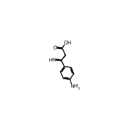 N=C(CC(=O)O)c1ccc(N)cc1